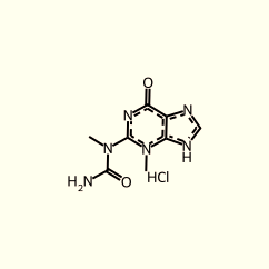 CN(C(N)=O)c1nc(=O)c2nc[nH]c2n1C.Cl